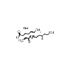 C=CC(C)=O.CCCCCCC(=O)[O-].NCCNCCO.[Na+]